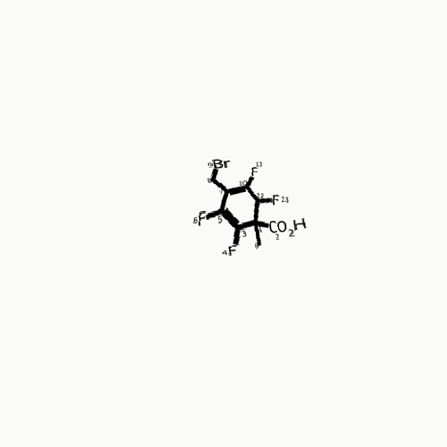 CC1(C(=O)O)C(F)=C(F)C(CBr)=C(F)C1F